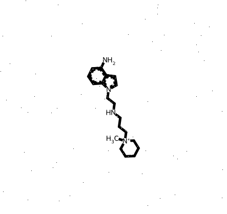 C[N+]1(CCCNCCn2ccc3c(N)cccc32)CCCCC1